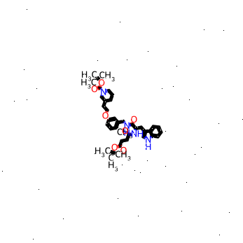 Cc1ccc(OCCC2CCCN(C(=O)OC(C)(C)C)C2)cc1CNC(=O)C(Cc1c[nH]c2ccccc12)NC(=O)CCC(=O)OC(C)(C)C